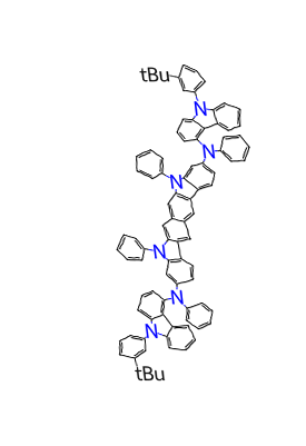 CC(C)(C)c1cccc(-n2c3ccccc3c3c(N(c4ccccc4)c4ccc5c6cc7cc8c9ccc(N(c%10ccccc%10)c%10cccc%11c%10c%10ccccc%10n%11-c%10cccc(C(C)(C)C)c%10)cc9n(-c9ccccc9)c8cc7cc6n(-c6ccccc6)c5c4)cccc32)c1